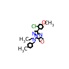 CCCN(Cc1ccc(C)cc1)c1c2c(nc3c(-c4ccc(OC)cc4Cl)cnn13)COC2